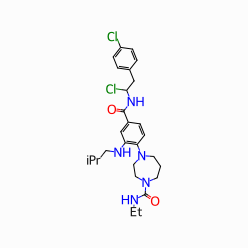 CCNC(=O)N1CCCN(c2ccc(C(=O)NC(Cl)Cc3ccc(Cl)cc3)cc2NCC(C)C)CC1